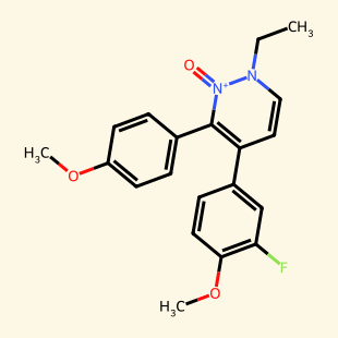 CCn1ccc(-c2ccc(OC)c(F)c2)c(-c2ccc(OC)cc2)[n+]1=O